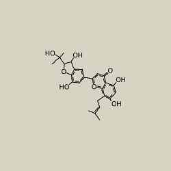 CC(C)=CCc1c(O)cc(O)c2c(=O)cc(-c3cc(O)c4c(c3)C(O)C(C(C)(C)O)O4)oc12